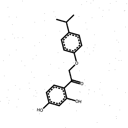 CC(C)c1ccc(OCC(=O)c2ccc(O)cc2O)cc1